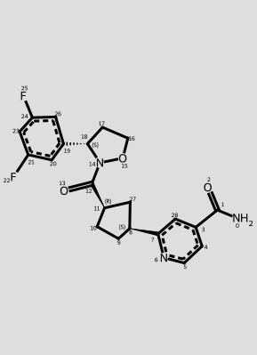 NC(=O)c1ccnc([C@H]2CC[C@@H](C(=O)N3OCC[C@H]3c3cc(F)cc(F)c3)C2)c1